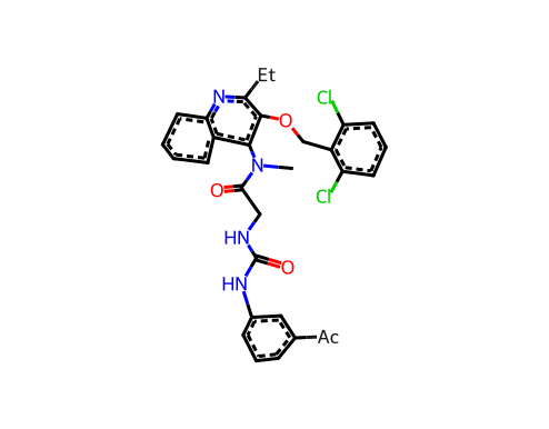 CCc1nc2ccccc2c(N(C)C(=O)CNC(=O)Nc2cccc(C(C)=O)c2)c1OCc1c(Cl)cccc1Cl